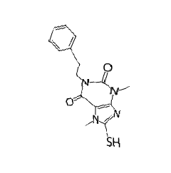 Cn1c(S)nc2c1c(=O)n(CCc1ccccc1)c(=O)n2C